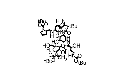 C[C@@H]([C@@H](O)[C@H](OCCO)O[C@@H]1[C@@H](O)[C@H](O[C@H]2OC(CN)=CC[C@H]2NCC2CCCN2C(=O)OC(C)(C)C)[C@@H](NC(=O)OC(C)(C)C)C[C@H]1NC(=O)[C@@H](O)CCNC(=O)OC(C)(C)C)N(C)C(=O)OC(C)(C)C